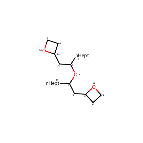 CCCCCCCC(CC1CCO1)OC(CCCCCCC)CC1CCO1